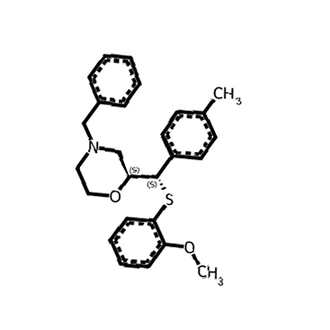 COc1ccccc1S[C@@H](c1ccc(C)cc1)[C@@H]1CN(Cc2ccccc2)CCO1